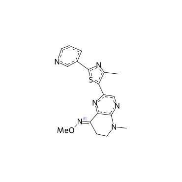 CO/N=C1\CCN(C)c2ncc(-c3sc(-c4cccnc4)nc3C)nc21